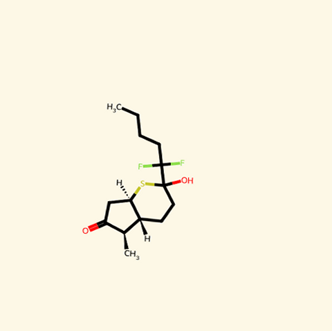 CCCCC(F)(F)C1(O)CC[C@H]2[C@@H](CC(=O)[C@@H]2C)S1